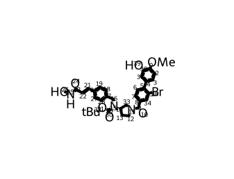 COc1ccc(-c2ccc(C(=O)N3CC[C@H](N(Cc4ccc(/C=C/C(=O)NO)cc4)C(=O)OC(C)(C)C)C3)cc2Br)cc1O